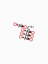 [C+4].[O]=[Al][O-].[O]=[Al][O-].[O]=[Al][O-].[O]=[Al][O-]